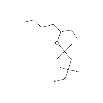 CCCCC(CC)OC(C)(C)CC(C)(C)SF